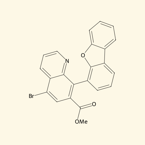 COC(=O)c1cc(Br)c2cccnc2c1-c1cccc2c1oc1ccccc12